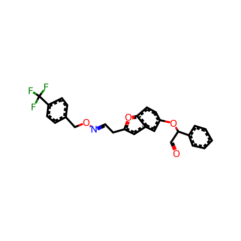 O=CC(Oc1ccc2oc(CC=NOCc3ccc(C(F)(F)F)cc3)cc2c1)c1ccccc1